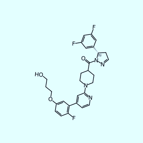 O=C(C1CCN(c2cc(-c3cc(OCCCO)ccc3F)ccn2)CC1)N1N=CC[C@H]1c1cc(F)cc(F)c1